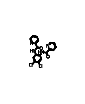 O=C(Nc1cc(Cl)c(Cl)cc1NC(=O)c1ccccn1)c1ccccn1